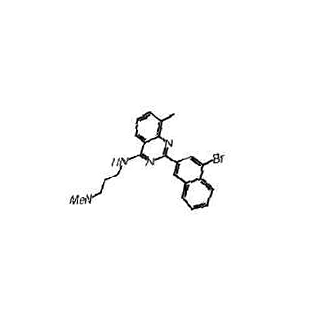 CNCCCNc1nc(-c2cc(Br)c3ccccc3c2)nc2c(C)cccc12